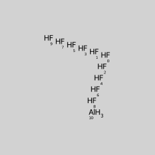 F.F.F.F.F.F.F.F.F.F.[AlH3]